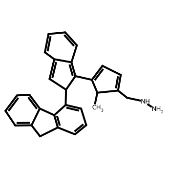 CC1C(CNN)=CC=C1C1=c2ccccc2=CC1c1cccc2c1-c1ccccc1C2